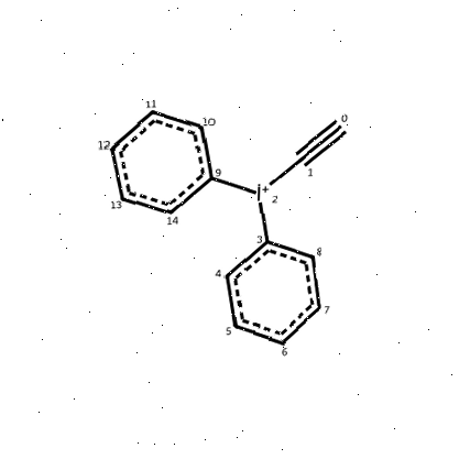 C#C[I+](c1ccccc1)c1ccccc1